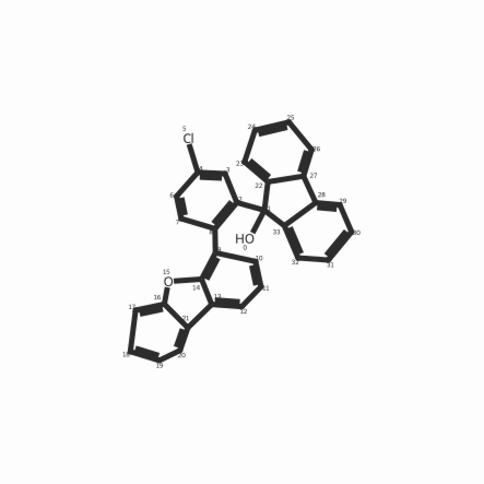 OC1(c2cc(Cl)ccc2-c2cccc3c2oc2ccccc23)c2ccccc2-c2ccccc21